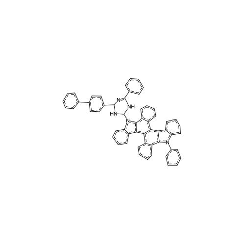 c1ccc(C2=NC(c3ccc(-c4ccccc4)cc3)NC(n3c4ccccc4c4c5c6ccccc6c6c(c7ccccc7n6-c6ccccc6)c5c5ccccc5c43)N2)cc1